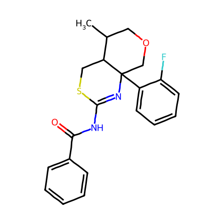 CC1COCC2(c3ccccc3F)N=C(NC(=O)c3ccccc3)SCC12